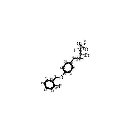 CC[C@H](NCc1ccc(OCc2ccccc2F)cc1)NS(C)(=O)=O